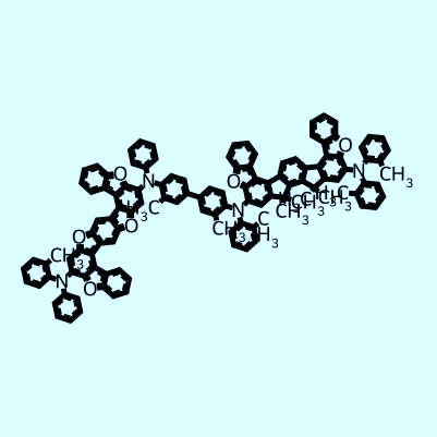 Cc1ccccc1N(c1ccccc1C)c1cc2c(c3c1oc1ccccc13)-c1ccc3c(c1C2(C)C)C(C)(C)c1cc(N(c2ccccc2C)c2ccc(-c4ccc(N(c5ccccc5)c5cc6oc7cc8c(cc7c6c6c5oc5ccccc56)oc5cc(N(c6ccccc6)c6ccccc6C)c6oc7ccccc7c6c58)c(C)c4)cc2C)c2oc4ccccc4c2c1-3